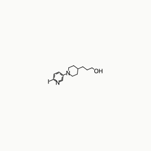 OCCCC1CCN(c2ccc(I)nc2)CC1